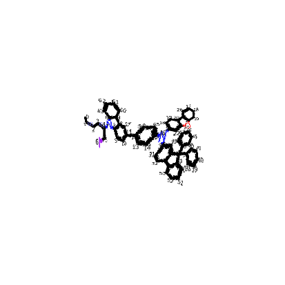 C/C=C\C=C(/CI)N1c2ccc(-c3ccc(N(C4=CCC5C(=C4)OC4=C5C=CCC4)c4ccc5c(c4)C(c4ccccc4)(c4ccccc4)c4ccccc4-5)cc3)cc2C2C=CC=CC21